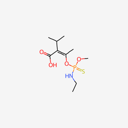 CCNP(=S)(OC)OC(C)=C(C(=O)O)C(C)C